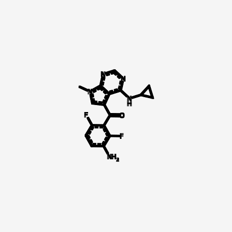 Cn1cc(C(=O)c2c(F)ccc(N)c2F)c2c(NC3CC3)ncnc21